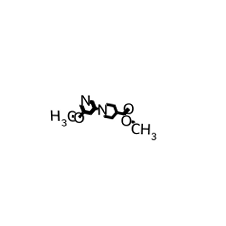 CCOC(=O)C1CCN(c2cncc(OC)c2)CC1